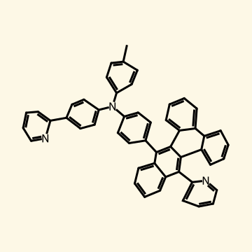 Cc1ccc(N(c2ccc(-c3ccccn3)cc2)c2ccc(-c3c4ccccc4c(-c4ccccn4)c4c5ccccc5c5ccccc5c34)cc2)cc1